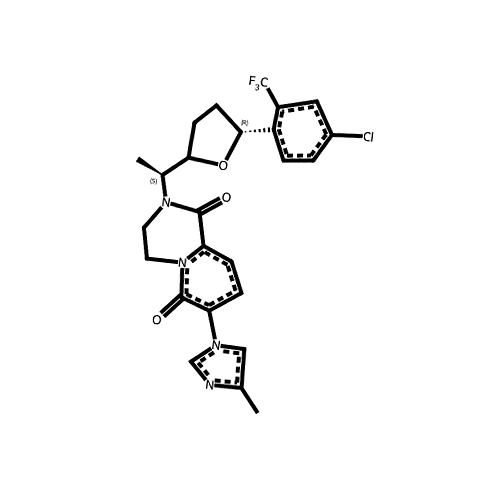 Cc1cn(-c2ccc3n(c2=O)CCN([C@@H](C)C2CC[C@H](c4ccc(Cl)cc4C(F)(F)F)O2)C3=O)cn1